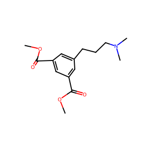 COC(=O)c1cc(CCCN(C)C)cc(C(=O)OC)c1